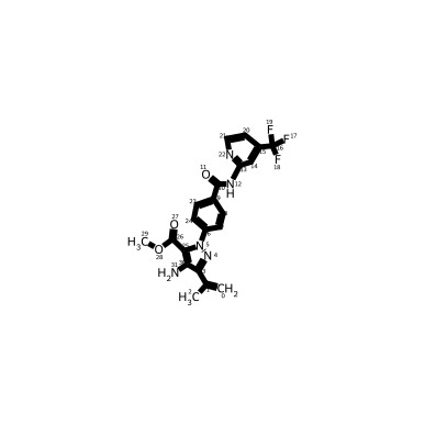 C=C(C)c1nn(-c2ccc(C(=O)Nc3cc(C(F)(F)F)ccn3)cc2)c(C(=O)OC)c1N